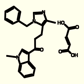 Cc1ncn(Cc2ccccc2)c1CCC(=O)c1cn(C)c2ccccc12.O=C(O)C=CC(=O)O